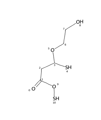 O=C(CC(S)OCCO)OS